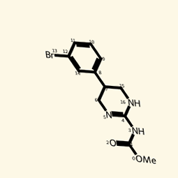 COC(=O)NC1=NCC(c2cccc(Br)c2)CN1